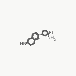 CC[C@@]1(N)CC[C@H](c2ccc3c(c2)CCC(=N)C3)C1